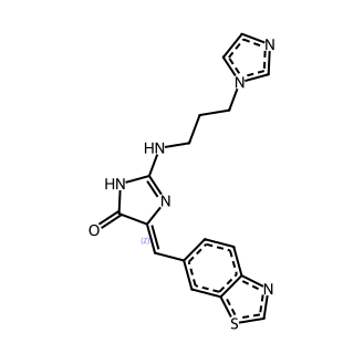 O=C1NC(NCCCn2ccnc2)=N/C1=C\c1ccc2ncsc2c1